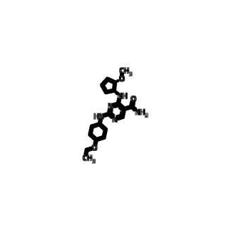 CCOC1CCC(Nc2ncc(C(N)=O)c(N[C@H]3CCC[C@@H]3OC)n2)CC1